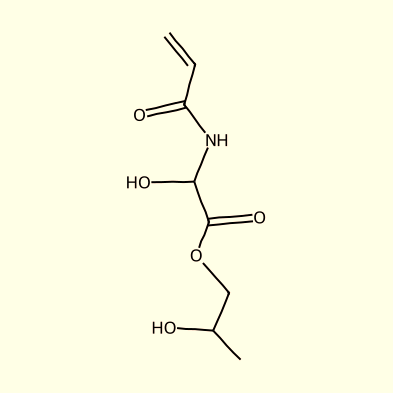 C=CC(=O)NC(O)C(=O)OCC(C)O